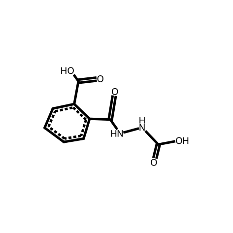 O=C(O)NNC(=O)c1ccccc1C(=O)O